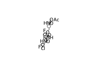 CC(=O)OCC(=O)NC1CCC(CCOc2c(F)ccc3nc(C(=O)NCc4ccc(F)c(Cl)c4)[nH]c(=O)c23)CC1